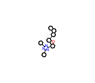 c1ccc(-c2nc(-c3ccccc3)nc(-c3cccc4oc5c(-c6ccc7ccc8ccccc8c7c6)cccc5c34)n2)cc1